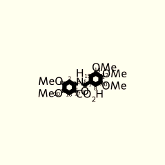 COc1cc(NC(=O)c2cc(OC)c(OC)c(OC)c2)c(C(=O)O)cc1OC